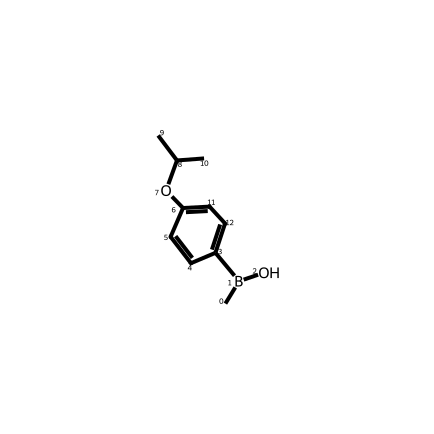 CB(O)c1ccc(OC(C)C)cc1